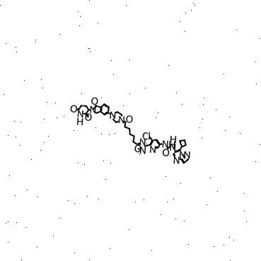 O=C1CCC(N2Cc3cc(N4CCN(C(=O)CCCCCc5nc(-c6ncc(NC(=O)Nc7cnc8ccnn8c7C7CCC7)cc6Cl)no5)CC4)ccc3C2=O)C(=O)N1